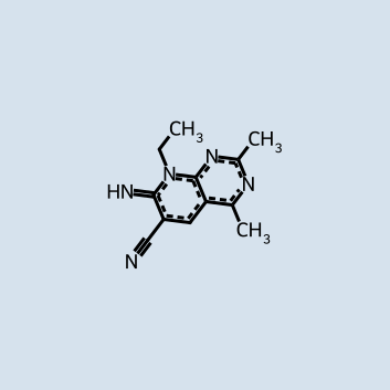 CCn1c(=N)c(C#N)cc2c(C)nc(C)nc21